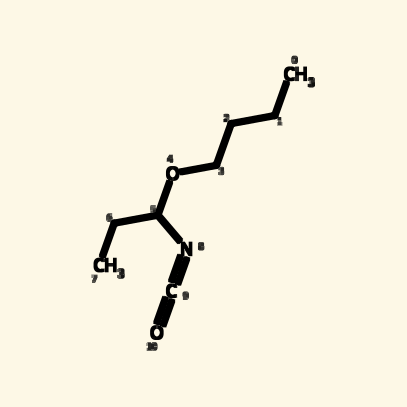 CCCCOC(CC)N=C=O